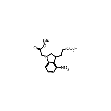 CC(C)(C)OC(=O)CN1CC(CCC(=O)O)c2c1cccc2[N+](=O)[O-]